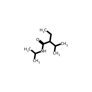 CCC(C(=O)NC(C)C)C(C)C